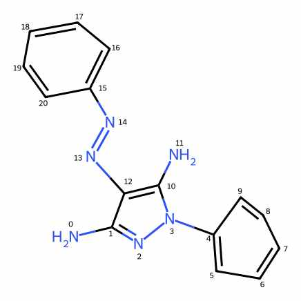 Nc1nn(-c2ccccc2)c(N)c1N=Nc1ccccc1